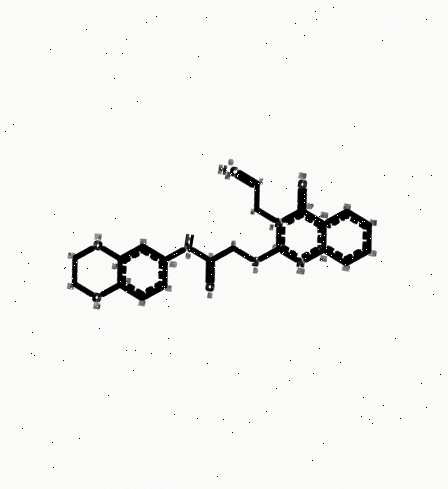 C=CCn1c(SCC(=O)Nc2ccc3c(c2)OCCO3)nc2ccccc2c1=O